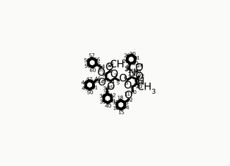 CO[C@H]1OC(COC2OC(COCc3ccccc3)[C@@H](C)[C@@H]3OC(=O)N(Cc4ccccc4)C23)[C@@H](OCc2ccccc2)[C@@H](OCc2ccccc2)C1OCc1ccccc1